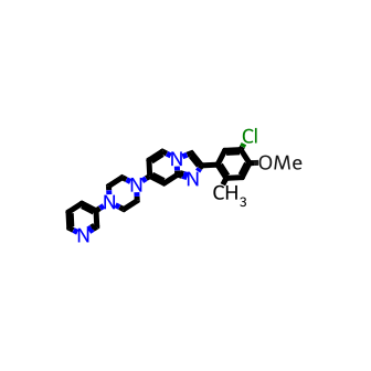 COc1cc(C)c(-c2cn3ccc(N4CCN(c5cccnc5)CC4)cc3n2)cc1Cl